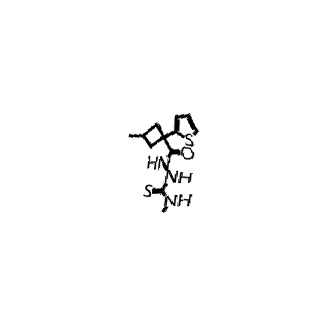 CNC(=S)NNC(=O)C1(c2cccs2)CC(C)C1